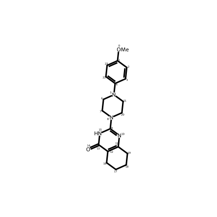 COc1ccc(N2CCN(c3nc4c(c(=O)[nH]3)CCCC4)CC2)cc1